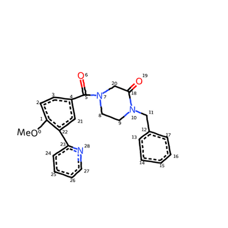 COc1ccc(C(=O)N2CCN(Cc3ccccc3)C(=O)C2)cc1-c1ccccn1